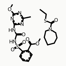 CCSC(=O)N1CCCCCC1.COC(=O)c1ccccc1S(=O)(=O)NC(=O)Nc1nc(C)nc(OC)n1